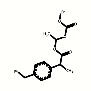 CC(C)Cc1ccc(C(C)C(=O)OC(C)OC(=O)OC(C)C)cc1